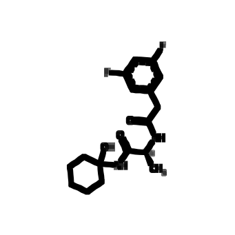 C[C@H](NC(=O)Cc1cc(F)cc(F)c1)C(=O)NC1(O)CCCCC1